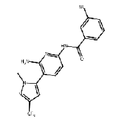 Cn1nc(C(F)(F)F)cc1-c1ccc(NC(=O)c2cccc(C#N)c2)nc1N